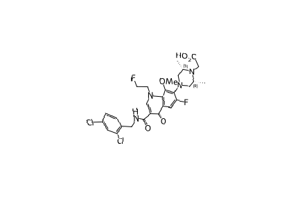 COc1c(N2C[C@@H](C)N(CC(=O)O)[C@@H](C)C2)c(F)cc2c(=O)c(C(=O)NCc3ccc(Cl)cc3Cl)cn(CCF)c12